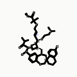 C=NC(=O)C(C)(C)OC/C=C/[C@H](OCCN(C)C)[C@@H]1CC[C@H]1CN1C[C@@]2(CCCc3cc(Cl)ccc32)COc2ccc([S+]([O-])NC(=O)C(C)C)cc21